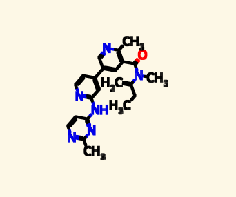 C=C(CC)N(C)C(=O)c1cc(-c2ccnc(Nc3ccnc(C)n3)c2)cnc1C